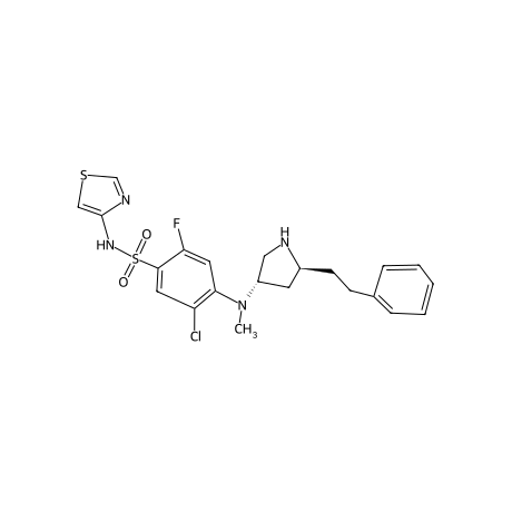 CN(c1cc(F)c(S(=O)(=O)Nc2cscn2)cc1Cl)[C@@H]1CN[C@@H](CCc2ccccc2)C1